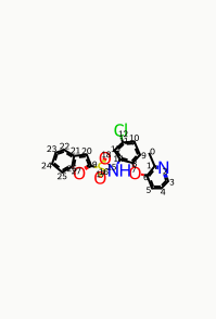 Cc1ncccc1Oc1ccc(Cl)cc1NS(=O)(=O)c1cc2ccccc2o1